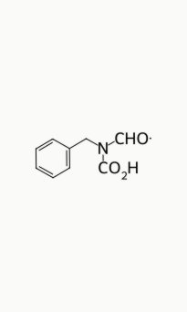 O=[C]N(Cc1ccccc1)C(=O)O